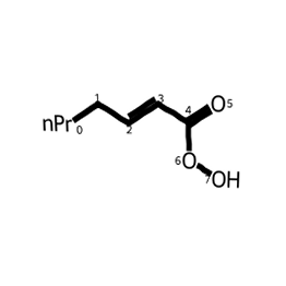 CCCCC=CC(=O)OO